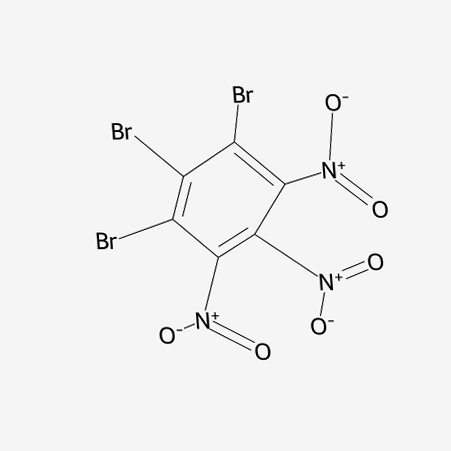 O=[N+]([O-])c1c(Br)c(Br)c(Br)c([N+](=O)[O-])c1[N+](=O)[O-]